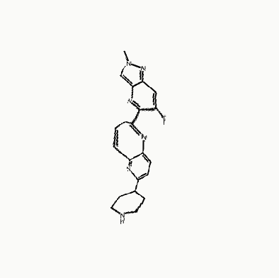 Cn1cc2nc(-c3ccc4nc(C5CCNCC5)ccc4n3)c(F)cc2n1